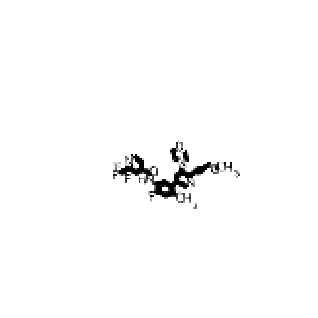 COCC#Cc1ncc(-c2cc(NC(=O)c3ccnc(C(F)(F)F)c3)c(F)cc2C)cc1N1CCOCC1